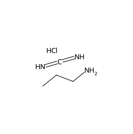 CCCN.Cl.N=C=N